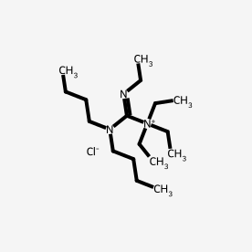 CCCCN(CCCC)C(=NCC)[N+](CC)(CC)CC.[Cl-]